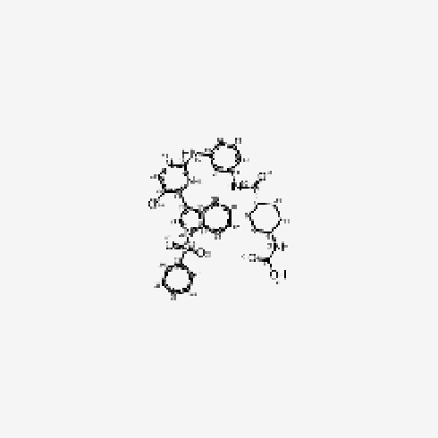 O=C(O)N[C@H]1CC[C@H](C(=O)Nc2cccc(Nc3ncc(Cl)c(-c4cn(S(=O)(=O)c5ccccc5)c5ccccc45)n3)c2)CC1